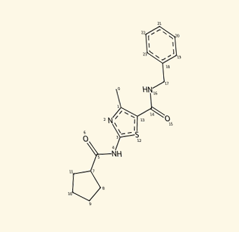 Cc1nc(NC(=O)C2CCCC2)sc1C(=O)NCc1ccccc1